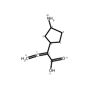 C=C=C(C(=O)O)C1CCC(N)C1